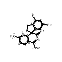 CNC1=NC(=O)C2(CCc3c(F)cc(F)cc32)c2nc(C(F)(F)F)ccc21